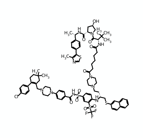 Cc1ncsc1-c1ccc([C@H](C)NC(=O)[C@@H]2C[C@@H](O)CN2C(=O)[C@@H](NC(=O)CCCCCC(=O)N2CCN(CC[C@H](CSc3ccc4ccccc4c3)Nc3ccc(S(=O)(=O)NC(=O)c4ccc(N5CCN(CC6=C(c7ccc(Cl)cc7)CCC(C)(C)C6)CC5)cc4)cc3S(=O)(=O)C(F)(F)F)CC2)C(C)(C)C)cc1